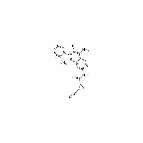 Cc1ccncc1-c1cc2cc(NC(=O)[C@@H]3CC3C#N)ncc2c(N)c1F